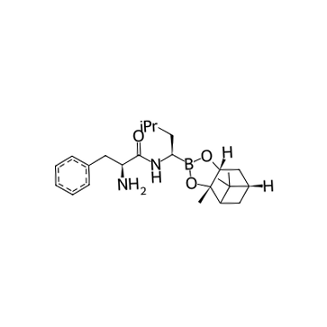 CC(C)C[C@H](NC(=O)[C@@H](N)Cc1ccccc1)B1O[C@@H]2C[C@@H]3CC(C3(C)C)[C@]2(C)O1